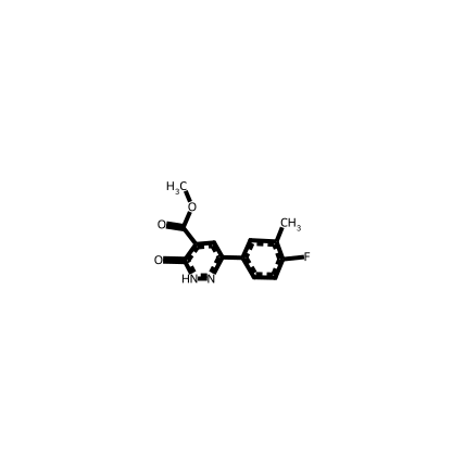 COC(=O)c1cc(-c2ccc(F)c(C)c2)n[nH]c1=O